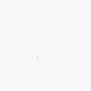 CCOC(=O)c1csc(CCC(NC(=O)OC(C)(C)C)C(C)C)n1